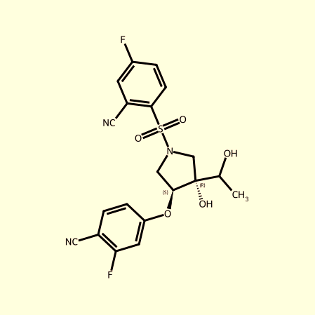 CC(O)[C@]1(O)CN(S(=O)(=O)c2ccc(F)cc2C#N)C[C@@H]1Oc1ccc(C#N)c(F)c1